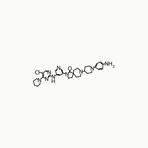 Nc1ccc(N2CCC(N3CCC4(CCN(c5cncc(Nc6ncc(Cl)c(N7CCCCC7)n6)c5)C4=O)CC3)CC2)cc1